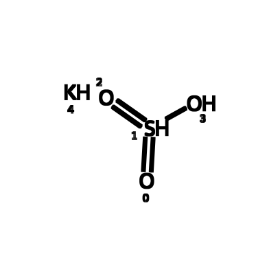 O=[SH](=O)O.[KH]